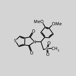 COc1ccc(C(CS(C)(=O)=O)N2C(=O)c3cscc3C2=O)cc1OC